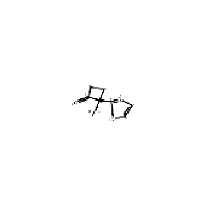 O=C1CCC1(c1nccs1)C(F)(F)F